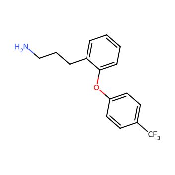 NCCCc1ccccc1Oc1ccc(C(F)(F)F)cc1